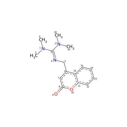 CN(C)C(=NCc1cc(=O)oc2ccccc12)N(C)C